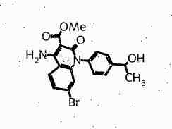 COC(=O)c1c(N)c2ccc(Br)cc2n(-c2ccc(C(C)O)cc2)c1=O